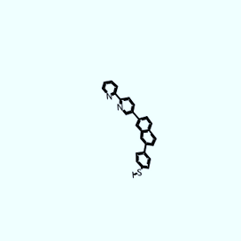 ISc1ccc(-c2ccc3ccc(-c4ccc(-c5ccccn5)nc4)cc3c2)cc1